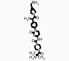 CC(C)(N)C(=O)N1CCN(C(=O)Nc2ccn(-c3ccc(C(N)C(=O)N4CC5C(CN)C5C4)cc3)c(=O)n2)CC1